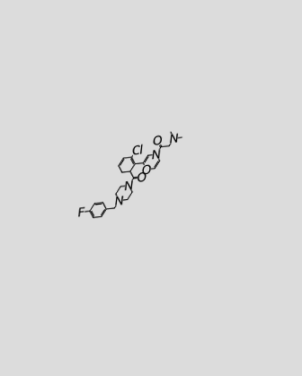 CN(C)CC(=O)N1C=COC(C2=C(Cl)C=CCC2C(=O)N2CCN(Cc3ccc(F)cc3)CC2)=C1